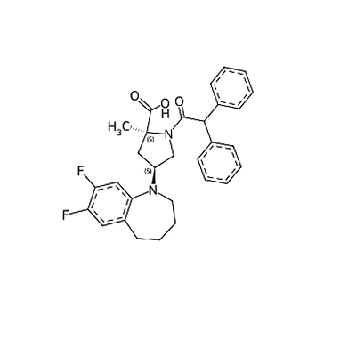 C[C@@]1(C(=O)O)C[C@H](N2CCCCc3cc(F)c(F)cc32)CN1C(=O)C(c1ccccc1)c1ccccc1